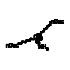 CCCCCCCCCCCCCCCCCCOP(=O)(OCCN)OCCCCCCCCCCCCCCCCCC